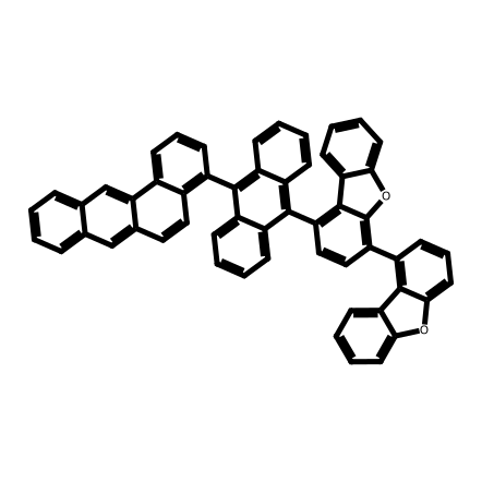 c1ccc2cc3c(ccc4c(-c5c6ccccc6c(-c6ccc(-c7cccc8oc9ccccc9c78)c7oc8ccccc8c67)c6ccccc56)cccc43)cc2c1